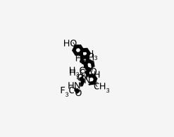 CC1=C2C[C@H]3[C@@H](CC=C4C[C@@H](O)CC[C@@]43C)[C@@H]2CC[C@]12O[C@@H]1C[C@H](C)CN(C(=O)CNC(=O)C(F)(F)F)[C@H]1[C@H]2C